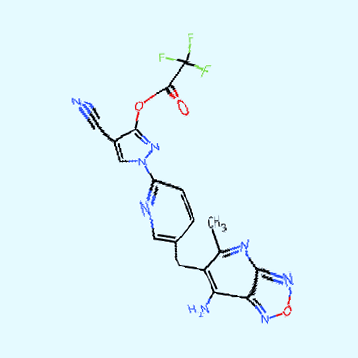 Cc1nc2nonc2c(N)c1Cc1ccc(-n2cc(C#N)c(OC(=O)C(F)(F)F)n2)nc1